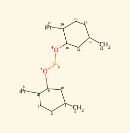 CC1CCC(C(C)C)C(O[P]OC2CC(C)CCC2C(C)C)C1